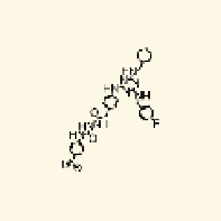 O=C(Cc1ccc(Nc2nc(NCc3ccc(F)cc3)nc(NCC3CCCCC3)n2)cc1)NNC(=O)Nc1ccc([N+](=O)[O-])cc1